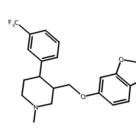 CN1CCC(c2cccc(C(F)(F)F)c2)C(COc2ccc3c(c2)OCO3)C1